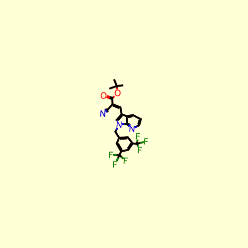 CC(C)(C)OC(=O)/C(C#N)=C/c1cn(Cc2cc(C(F)(F)F)cc(C(F)(F)F)c2)c2ncccc12